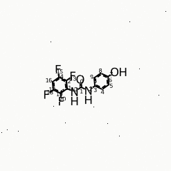 O=C(Nc1ccc(O)cc1)Nc1c(F)c(F)cc(F)c1F